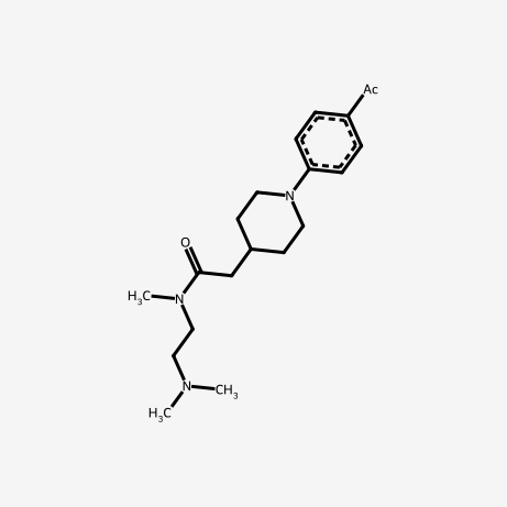 CC(=O)c1ccc(N2CCC(CC(=O)N(C)CCN(C)C)CC2)cc1